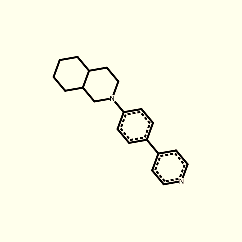 c1cc(-c2ccc(N3CCC4CCCCC4C3)cc2)ccn1